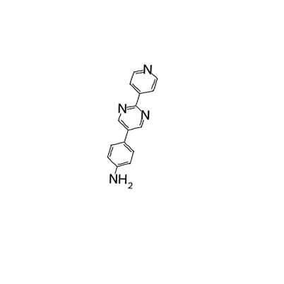 Nc1ccc(-c2cnc(-c3ccncc3)nc2)cc1